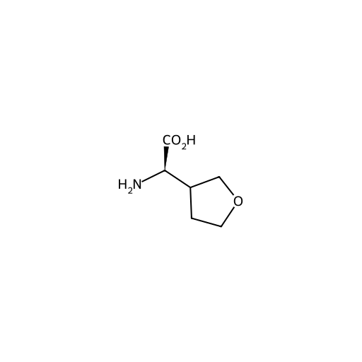 N[C@@H](C(=O)O)C1CCOC1